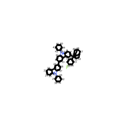 Fc1ccc(C2(c3ccc4c(c3)c3cc(-c5ccc6c(c5)c5ccccc5n6-c5ccccc5)ccc3n4-c3ccccc3)C3CC4CC(C3)CC2C4)cc1